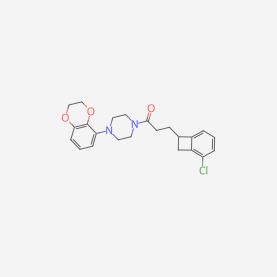 O=C(CCC1Cc2c(Cl)cccc21)N1CCN(c2cccc3c2OCCO3)CC1